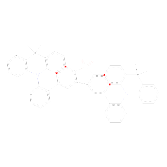 CC1(C)c2ccccc2N(c2ccccc2-c2ccc3c(c2)-c2cc(-c4ccccc4N4c5ccccc5C(C)(C)c5ccccc54)ccc2S3(=O)=O)c2ccccc21